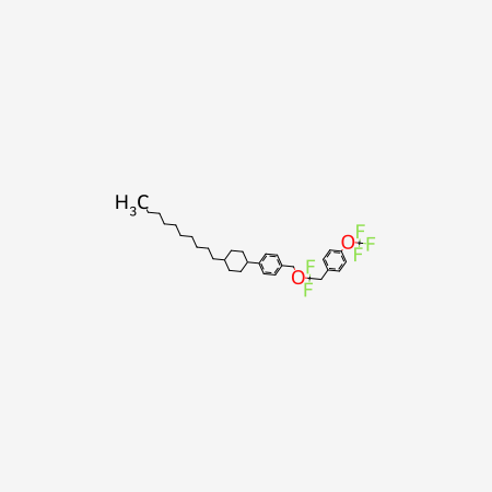 CCCCCCCCCCC1CCC(c2ccc(COC(F)(F)Cc3ccc(OC(F)(F)F)cc3)cc2)CC1